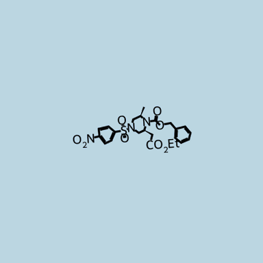 CCOC(=O)C[C@H]1CN(S(=O)(=O)c2ccc([N+](=O)[O-])cc2)C[C@@H](C)N1C(=O)OCc1ccccc1